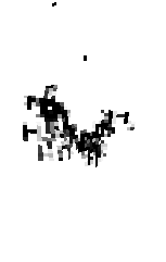 Cl.NC(=O)Cc1nc(C(F)(F)F)n2c1CN(C(=O)C[C@H](N)Cc1cc(F)c(F)cc1F)CC2